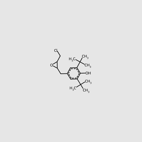 CC(C)(C)c1cc(CC2OC2CCl)cc(C(C)(C)C)c1O